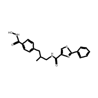 CC(CNC(=O)c1csc(-c2ccccc2)n1)Cc1ccc(C(=O)NO)cc1